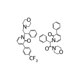 O=C(C(c1ccccc1)n1cccc(-c2ccccc2)c1=O)N1CCOCC1.O=c1c(-c2ccc(C(F)(F)F)cc2)cccn1C(CN1CCOCC1)c1ccccc1